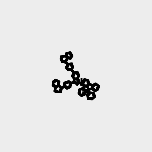 c1ccc([Si]2(c3ccccc3)c3ccccc3-c3ccc(-n4cc(-c5ccc(-c6cccc7ccccc67)cc5)c5cc(-c6ccc(-c7cccc8ccccc78)cc6)ccc54)cc32)cc1